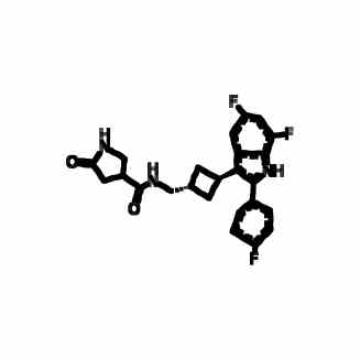 O=C1CC(C(=O)NC[C@H]2C[C@H](c3c(-c4ccc(F)cc4)[nH]c4c(F)cc(F)cc43)C2)CN1